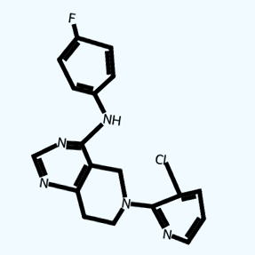 Fc1ccc(Nc2ncnc3c2CN(c2ncccc2Cl)CC3)cc1